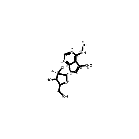 C[C@@]1(Cl)C(O)C(CO)O[C@H]1n1cc(C=O)c2c(NO)ncnc21